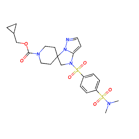 CN(C)S(=O)(=O)c1ccc(S(=O)(=O)N2CC3(CCN(C(=O)OCC4CC4)CC3)n3nccc32)cc1